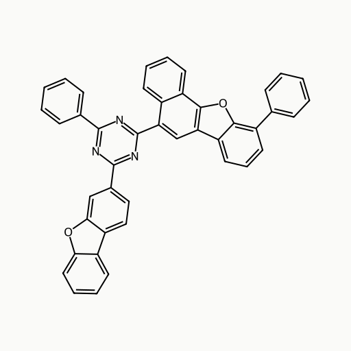 c1ccc(-c2nc(-c3ccc4c(c3)oc3ccccc34)nc(-c3cc4c5cccc(-c6ccccc6)c5oc4c4ccccc34)n2)cc1